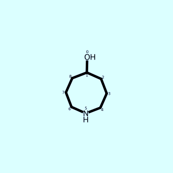 OC1CCCNCCC1